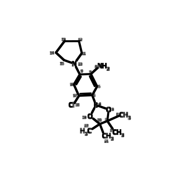 CC1(C)OB(c2cc(N)c(N3CCCCC3)cc2Cl)OC1(C)C